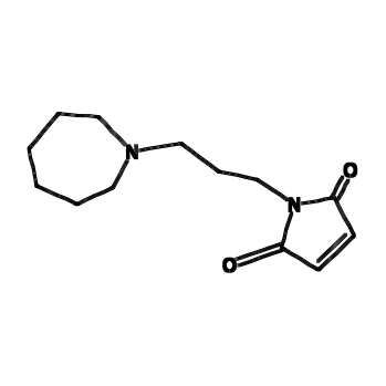 O=C1C=CC(=O)N1CCCN1CCCCCC1